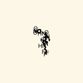 CCn1nc(C(=O)NC[C@H]2CC[C@H](S(C)(=O)=O)CC2)c(C)c1-c1cnc(NCCCC(F)(F)F)cc1OC